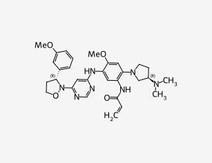 C=CC(=O)Nc1cc(Nc2cc(N3OCC[C@@H]3c3cccc(OC)c3)ncn2)c(OC)cc1N1CC[C@@H](N(C)C)C1